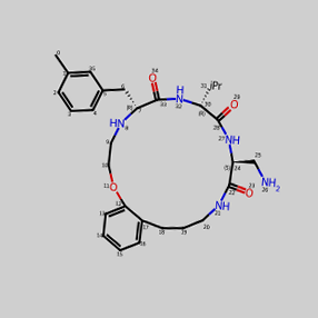 Cc1cccc(C[C@H]2NCCOc3ccccc3CCCNC(=O)[C@H](CN)NC(=O)[C@@H](C(C)C)NC2=O)c1